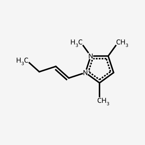 CCC=C[n+]1c(C)cc(C)n1C